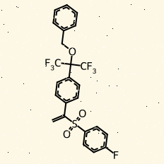 C=C(c1ccc(C(OCc2ccccc2)(C(F)(F)F)C(F)(F)F)cc1)S(=O)(=O)c1ccc(F)cc1